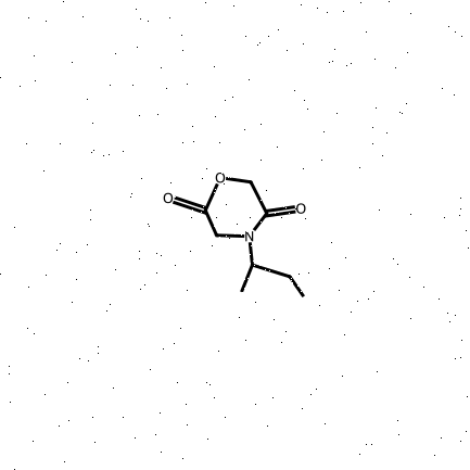 CCC(C)N1CC(=O)OCC1=O